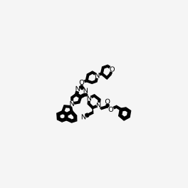 N#CC[C@H]1CN(c2nc(OC3CCN(C4CCOCC4)CC3)nc3c2CN(C2Cc4cccc5cccc2c45)C3)CCN1CC(=O)OCc1ccccc1